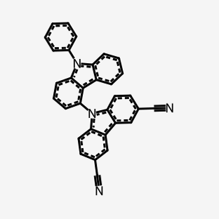 N#Cc1ccc2c(c1)c1cc(C#N)ccc1n2-c1cccc2c1c1ccccc1n2-c1ccccc1